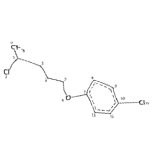 FC(F)(F)C(Cl)C[CH]COc1ccc(Cl)cc1